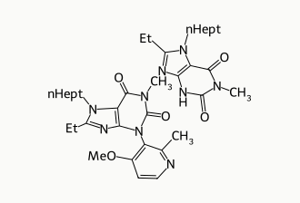 CCCCCCCn1c(CC)nc2[nH]c(=O)n(C)c(=O)c21.CCCCCCCn1c(CC)nc2c1c(=O)n(C)c(=O)n2-c1c(OC)ccnc1C